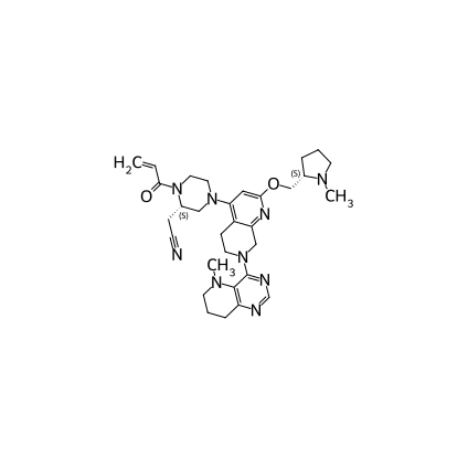 C=CC(=O)N1CCN(c2cc(OC[C@@H]3CCCN3C)nc3c2CCN(c2ncnc4c2N(C)CCC4)C3)C[C@@H]1CC#N